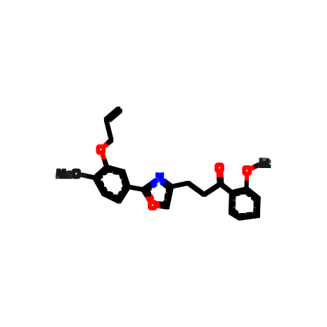 C=CCOc1cc(-c2nc(CCC(=O)c3ccccc3OCC)co2)ccc1OC